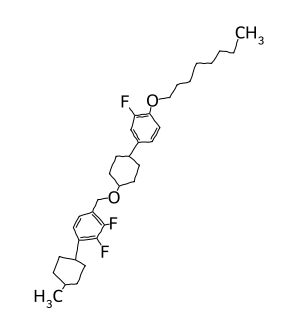 CCCCCCCCOc1ccc(C2CCC(OCc3ccc(C4CCC(C)CC4)c(F)c3F)CC2)cc1F